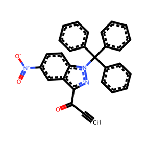 C#CC(=O)c1nn(C(c2ccccc2)(c2ccccc2)c2ccccc2)c2ccc([N+](=O)[O-])cc12